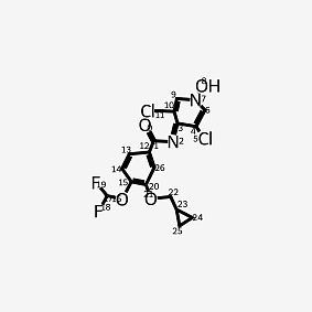 O=C(N=c1c(Cl)cn(O)cc1Cl)c1ccc(OC(F)F)c(OCC2CC2)c1